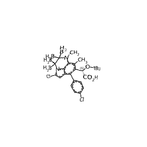 BC1(B)N(C)c2c(C)c([C@H](OC(C)(C)C)C(=O)O)c(-c3ccc(Cl)cc3)c3cc(Cl)n(c23)C1(B)B